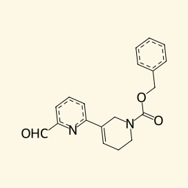 O=Cc1cccc(C2=CCCN(C(=O)OCc3ccccc3)C2)n1